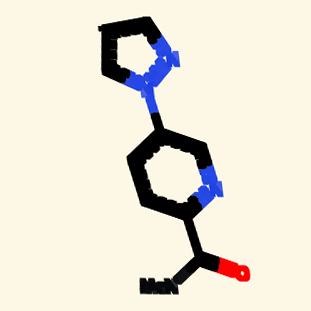 CNC(=O)c1ccc(-n2c[c]cn2)cn1